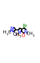 Cc1c(-c2cc3c(Br)cn(C)c(=O)c3n2SI)cnn1C